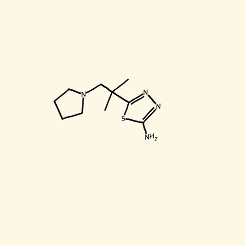 CC(C)(CN1CCCC1)c1nnc(N)s1